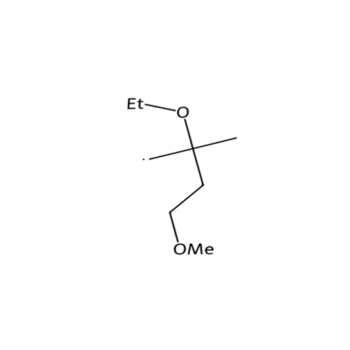 [CH2]C(C)(CCOC)OCC